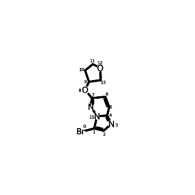 Brc1cnc2ccc(OC3CCOC3)nn12